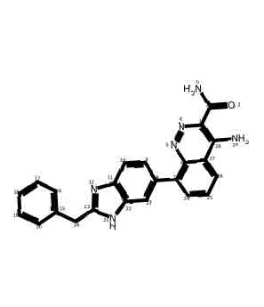 NC(=O)c1nnc2c(-c3ccc4nc(Cc5ccccc5)[nH]c4c3)cccc2c1N